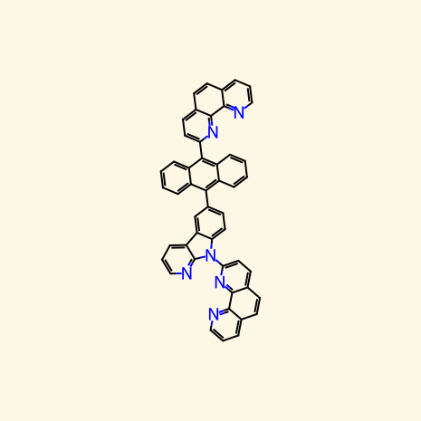 c1cnc2c(c1)ccc1ccc(-c3c4ccccc4c(-c4ccc5c(c4)c4cccnc4n5-c4ccc5ccc6cccnc6c5n4)c4ccccc34)nc12